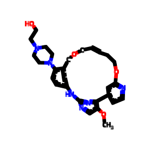 COc1cnc2nc1-c1ccnc(c1)OCC/C=C/COCc1cc(ccc1N1CCN(CCO)CC1)N2